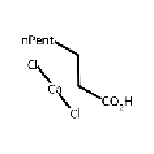 CCCCCCCC(=O)O.[Cl][Ca][Cl]